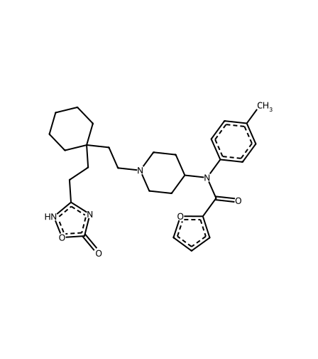 Cc1ccc(N(C(=O)c2ccco2)C2CCN(CCC3(CCc4nc(=O)o[nH]4)CCCCC3)CC2)cc1